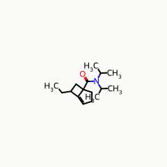 CCC1CC2(C(=O)N(C(C)C)C(C)C)CCC=C12